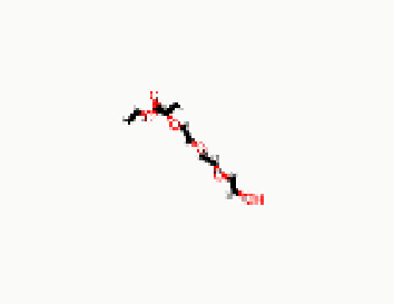 CCOC(=O)C(C)OCCOCCOCCO